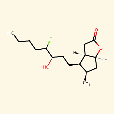 CCCC[C@@H](F)[C@@H](O)CC[C@H]1[C@H]2CC(=O)O[C@H]2C[C@H]1C